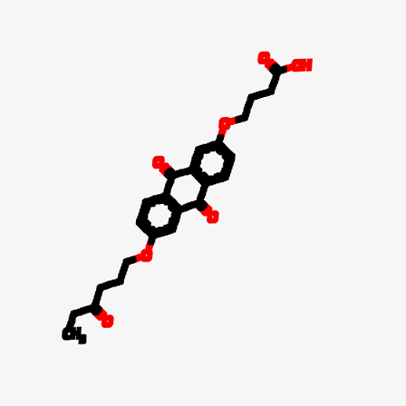 CCC(=O)CCCOc1ccc2c(c1)C(=O)c1ccc(OCCCC(=O)O)cc1C2=O